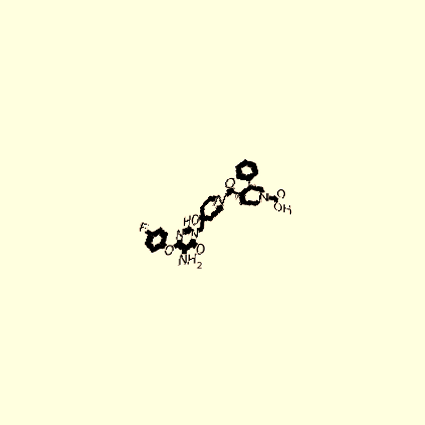 Nc1c(Oc2ccc(F)cc2)ncn(CC2(O)CCN(C(=O)[C@@H]3CCN(C(=O)O)C[C@H]3c3ccccc3)CC2)c1=O